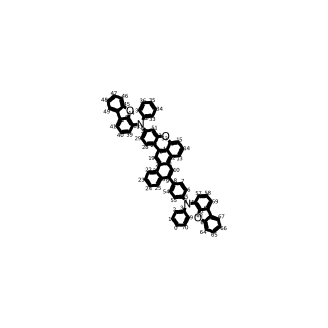 c1ccc(N(c2ccc(-c3cc4c5cccc6c5c(cc4c4ccccc34)-c3ccc(N(c4ccccc4)c4cccc5c4oc4ccccc45)cc3O6)cc2)c2cccc3c2oc2ccccc23)cc1